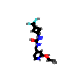 O=C(NCc1ccnc(OCC(F)(F)F)c1)NC1CC(C(F)F)C1